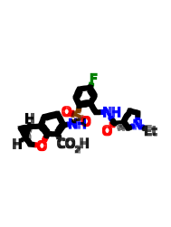 CCN1CC[C@H](C(=O)NCc2cc(F)ccc2S(=O)(=O)Nc2ccc3c(c2C(=O)O)OC[C@@H]2C[C@H]32)C1